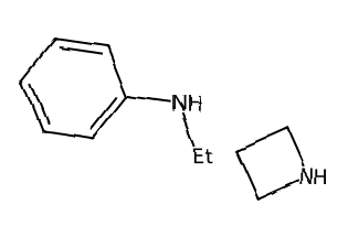 C1CNC1.CCNc1ccccc1